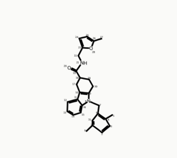 Cc1ccc(C)c(Cn2c3c(c4ccccc42)CC(C(=O)NCc2ccc(C)o2)CC3)c1